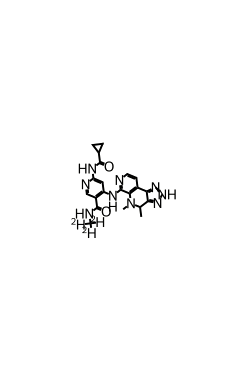 [2H]C([2H])([2H])NC(=O)c1cnc(NC(=O)C2CC2)cc1Nc1nccc2c1N(C)C(C)c1n[nH]nc1-2